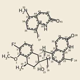 COc1c(F)ccc2c1[C@H](C)C[C@](O)(C(F)(F)F)[C@H]2Nc1ccc(F)c2[nH]c(=O)ccc12.Nc1ccc(F)c2[nH]c(=O)ccc12